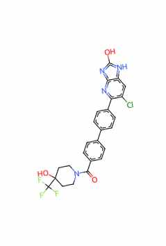 O=C(c1ccc(-c2ccc(-c3nc4nc(O)[nH]c4cc3Cl)cc2)cc1)N1CCC(O)(C(F)(F)F)CC1